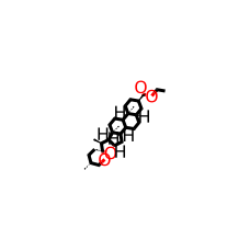 CCOC(=O)[C@@H]1CC[C@@]2(C)[C@H](CC[C@@H]3[C@@H]2CC[C@]2(C)[C@@H]4[C@H](C[C@@H]32)O[C@]2(CC[C@@H](C)CO2)[C@H]4C)C1